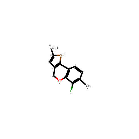 Cc1ccc2c(c1F)OCc1cc(C(=O)O)sc1-2